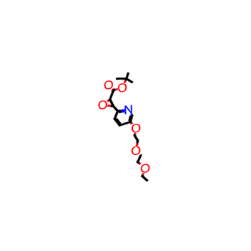 CCOCCOCCOc1ccc(C2OC2C(=O)OC(C)(C)C)nc1